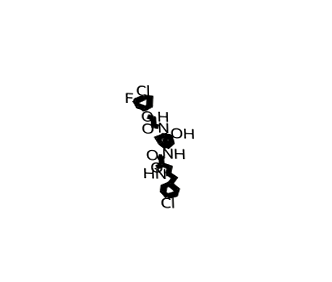 O=C(COc1ccc(Cl)c(F)c1)NC12CCC(NC(=O)C3CC(Cc4ccc(Cl)cc4)NO3)(CC1)CC2O